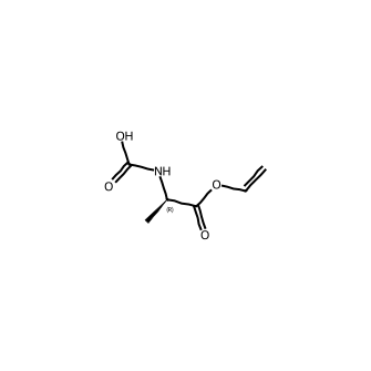 C=COC(=O)[C@@H](C)NC(=O)O